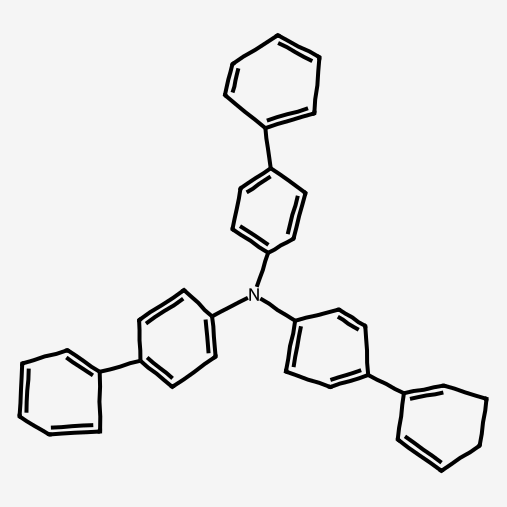 C1=CC(c2ccc(N(c3ccc(-c4ccccc4)cc3)c3ccc(-c4ccccc4)cc3)cc2)=CCC1